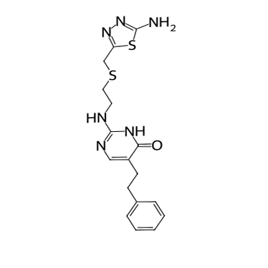 Nc1nnc(CSCCNc2ncc(CCc3ccccc3)c(=O)[nH]2)s1